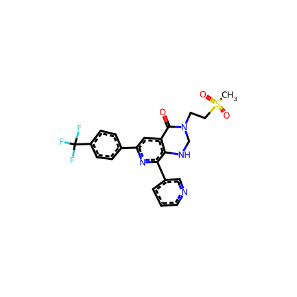 CS(=O)(=O)CCN1CNc2c(cc(-c3ccc(C(F)(F)F)cc3)nc2-c2cccnc2)C1=O